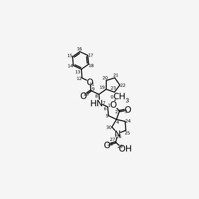 COC(=O)C1(CCNC(C(=O)OCc2ccccc2)C2CCCC2)CCN(C(=O)O)C1